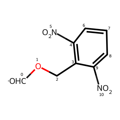 O=[C]OCc1c([N+](=O)[O-])cccc1[N+](=O)[O-]